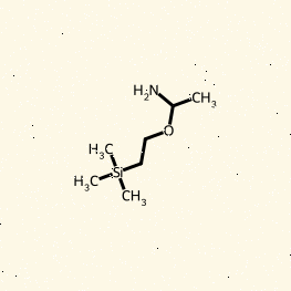 CC(N)OCC[Si](C)(C)C